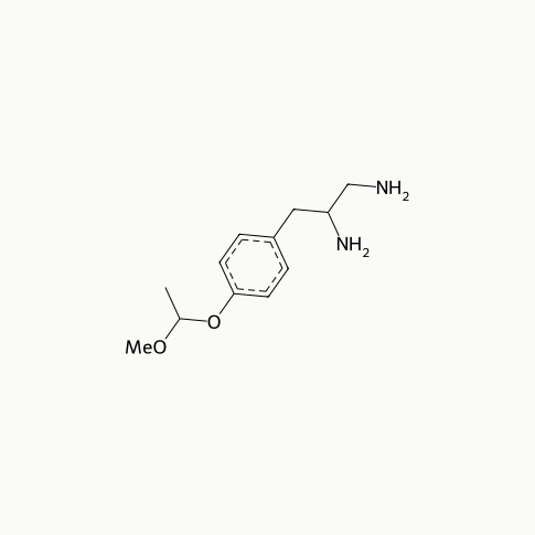 COC(C)Oc1ccc(CC(N)CN)cc1